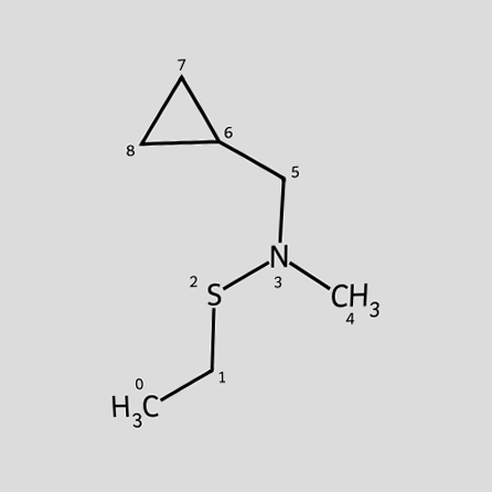 CCSN(C)CC1CC1